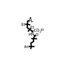 CCC(C)(CN(C)C)CC(C)(CC)[C@@H](NC(=O)C(C)(C)CCC(C)(C)C(C)=O)C(=O)O